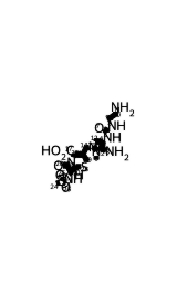 Cn1c(N)c(NC(=O)NCCN)c[n+]1CC1=C(C(=O)O)N2C(=O)[C@@H](NS(C)(=O)=O)[C@H]2SC1